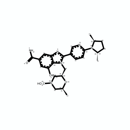 COc1cc(C(N)=O)cc2nc(-c3ccc(N4[C@@H](C)CC[C@@H]4C)nc3)n(C[C@@H]3CN(C(=O)O)C[C@H](C)O3)c12